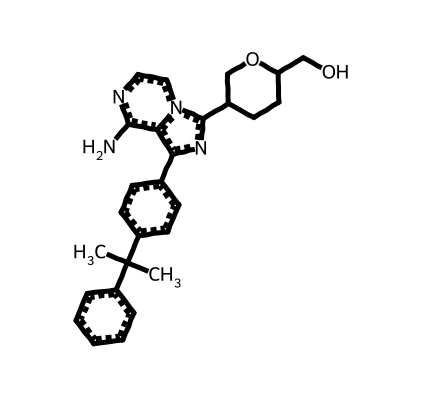 CC(C)(c1ccccc1)c1ccc(-c2nc(C3CCC(CO)OC3)n3ccnc(N)c23)cc1